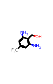 Nc1cc(C(F)(F)F)cc(N)c1CO